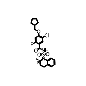 C[C@@H]1CCc2ccccc2N1S(=O)(=O)NC(=O)c1cc(Cl)c(OCC2CCCC2)cc1F